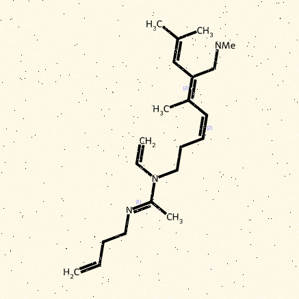 C=CCC/N=C(\C)N(C=C)CC/C=C\C(C)=C(\C=C(C)C)CNC